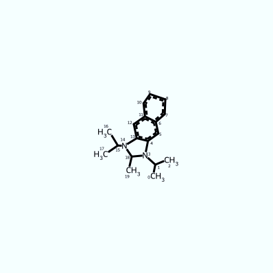 CC(C)N1c2cc3ccccc3cc2N(C(C)C)C1C